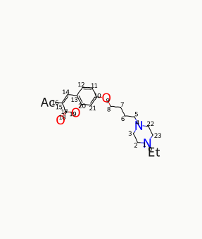 CCN1CCN(CCCCOc2ccc3cc(C(C)=O)c(=O)oc3c2)CC1